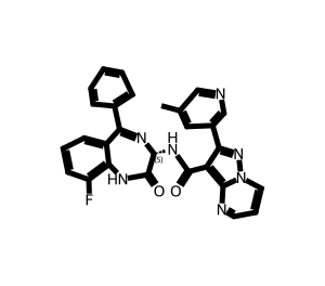 Cc1cncc(-c2nn3cccnc3c2C(=O)N[C@H]2N=C(c3ccccc3)c3cccc(F)c3NC2=O)c1